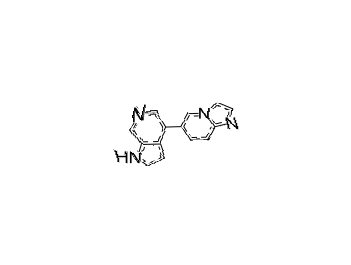 c1cn2cc(-c3cncc4[nH]ccc34)ccc2n1